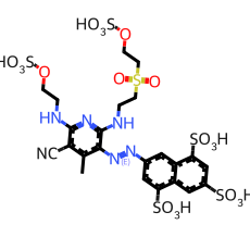 Cc1c(C#N)c(NCCOS(=O)(=O)O)nc(NCCS(=O)(=O)CCOS(=O)(=O)O)c1/N=N/c1cc(S(=O)(=O)O)c2cc(S(=O)(=O)O)cc(S(=O)(=O)O)c2c1